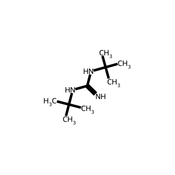 CC(C)(C)NC(=N)NC(C)(C)C